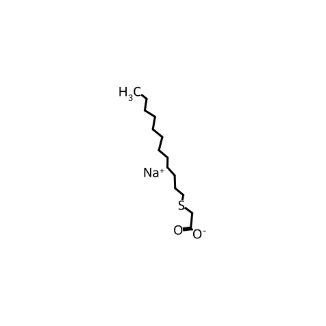 CCCCCCCCCCCCSCC(=O)[O-].[Na+]